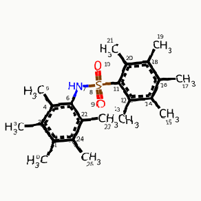 Cc1c(C)c(C)c(NS(=O)(=O)c2c(C)c(C)c(C)c(C)c2C)c(C)c1C